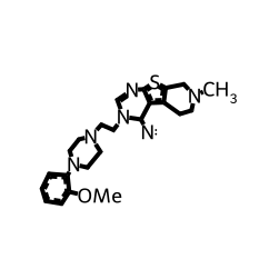 COc1ccccc1N1CCN(CCN2C=Nc3sc4c(c3C2[N])CCN(C)C4)CC1